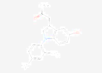 COC(=O)Cc1cn(-c2ccc([N+](=O)[O-])cc2C)c2ccc(Br)cc12